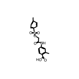 Cc1ccc(S(=O)(=O)OCC(=O)Nc2ccc(C(=O)O)c(C)c2)cc1